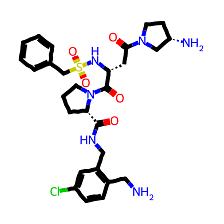 NCc1ccc(Cl)cc1CNC(=O)[C@@H]1CCCN1C(=O)[C@@H](CC(=O)N1CC[C@H](N)C1)NS(=O)(=O)Cc1ccccc1